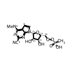 CNc1nc(C#N)nc2c1ccn2[C@@H]1O[C@H](COOP(C)(=O)O)[C@@H](O)[C@H]1O